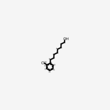 OCCCCCCCCc1ccccc1Cl